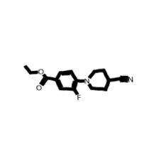 CCOC(=O)c1ccc(N2CCC(C#N)CC2)c(F)c1